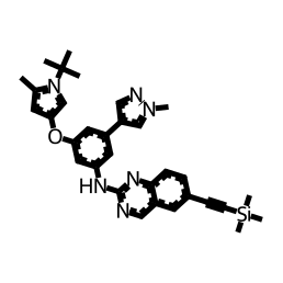 Cc1cc(Oc2cc(Nc3ncc4cc(C#C[Si](C)(C)C)ccc4n3)cc(-c3cnn(C)c3)c2)cn1C(C)(C)C